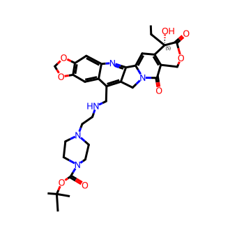 CC[C@@]1(O)C(=O)OCc2c1cc1n(c2=O)Cc2c-1nc1cc3c(cc1c2CNCCN1CCN(C(=O)OC(C)(C)C)CC1)OCO3